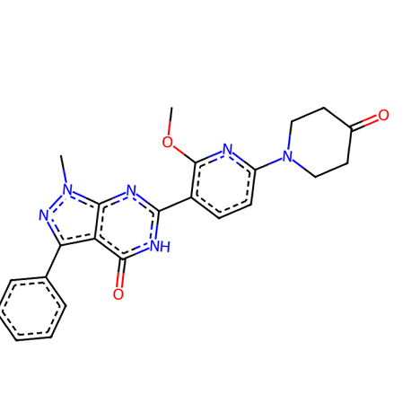 COc1nc(N2CCC(=O)CC2)ccc1-c1nc2c(c(-c3ccccc3)nn2C)c(=O)[nH]1